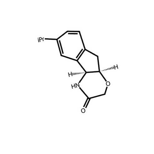 CC(C)c1ccc2c(c1)[C@@H]1NC(=O)CO[C@@H]1C2